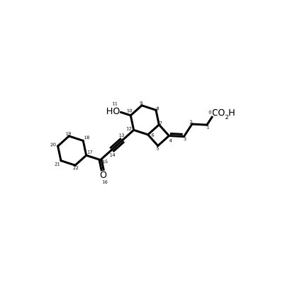 O=C(O)CC/C=C1/CC2C1CCC(O)C2C#CC(=O)C1CCCCC1